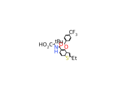 CCC1=CC2C(OCc3ccc(C(F)(F)F)cc3)=C(C(=O)NC(C(=O)O)C(C)(C)C)C=CC2S1